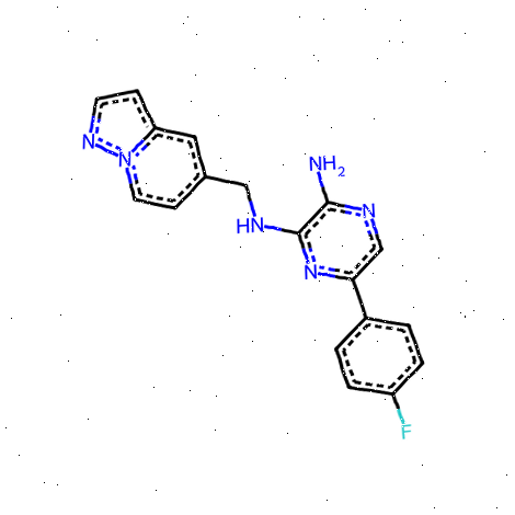 Nc1ncc(-c2ccc(F)cc2)nc1NCc1ccn2nccc2c1